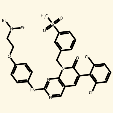 CCN(CC)CCOc1ccc(Nc2ncc3cc(-c4c(Cl)cccc4Cl)c(=O)n(Cc4cccc(S(C)(=O)=O)c4)c3n2)cc1